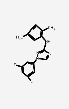 Cc1ccc(C)c(Nc2ncn(-c3cc(F)cc(F)c3)n2)c1